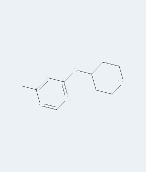 CCc1cc(NC2CCNCC2)ncn1